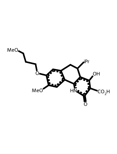 COCCCOc1cc2c(cc1OC)-c1[nH]c(=O)c(C(=O)O)c(O)c1C(C(C)C)C2